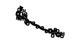 CC1(Oc2ccc3n[nH]c(-c4cc(N5CCO[C@H](CCOCCOCCOCCOc6ccc7c(c6)C(=O)N(C6CCC(=O)NC6=O)C7=O)C5)ncn4)c3c2)CC1